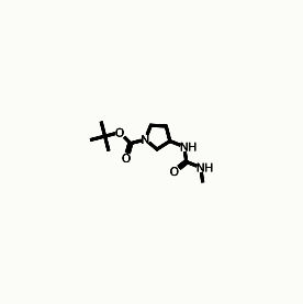 CNC(=O)NC1CCN(C(=O)OC(C)(C)C)C1